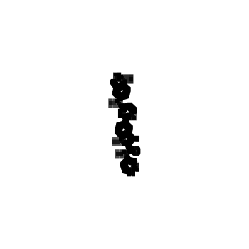 CC1c2cc(-c3nccc(Nc4ccc5[nH]ncc5c4)n3)ccc2NC1C(=O)Nc1ccnnc1